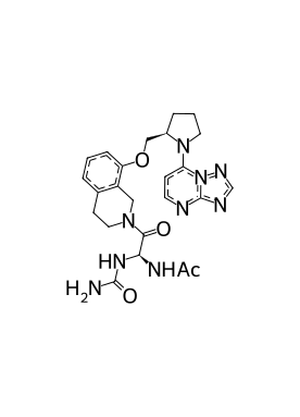 CC(=O)N[C@@H](NC(N)=O)C(=O)N1CCc2cccc(OC[C@H]3CCCN3c3ccnc4ncnn34)c2C1